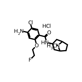 CN1C2CCC1CC(NC(=O)c1cc(Cl)c(N)cc1OCCF)C2.Cl